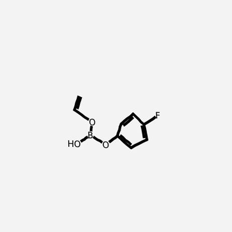 C=COB(O)Oc1ccc(F)cc1